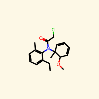 CCc1cccc(C)c1N(C(=O)CCl)C1(C)C=CC=CC1OC